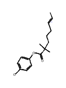 C/C=C/CCCC(C)(C)C(=O)Oc1ccc(Cl)cc1